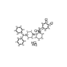 Cl.Cl.O=C[C@@]1(N2CCN(C(c3ccccc3)c3ccccc3)CC2)CCCCN1Cc1ccc(Cl)c(Cl)c1